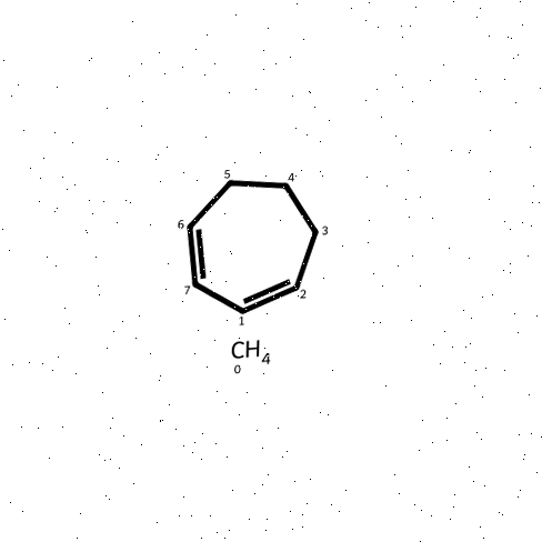 C.C1=CCCCC=C1